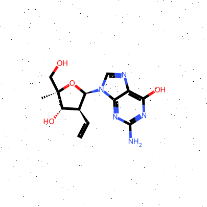 C=C[C@@H]1[C@H](n2cnc3c(O)nc(N)nc32)O[C@](C)(CO)[C@H]1O